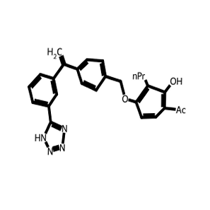 C=C(c1ccc(COc2ccc(C(C)=O)c(O)c2CCC)cc1)c1cccc(-c2nnn[nH]2)c1